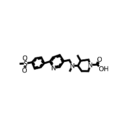 CC1CN(C(=O)O)CCC1N(C)Cc1ccc(-c2ccc(S(C)(=O)=O)cc2)nc1